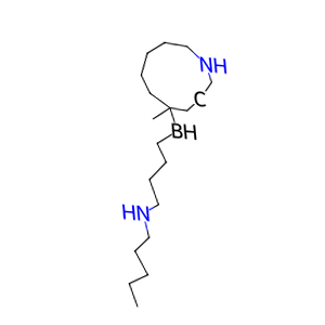 CCCCCNCCCCBC1(C)CCCCCNCCC1